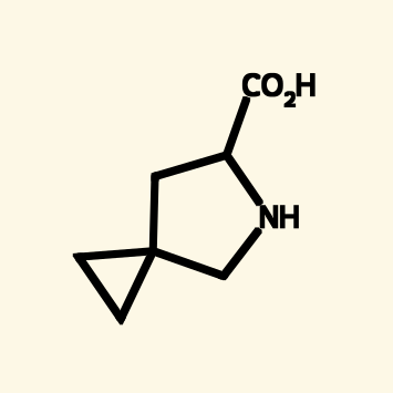 O=C(O)C1CC2(CC2)CN1